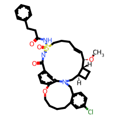 CO[C@H]1/C=C/CCCS(=O)(NC(=O)CCc2ccccc2)=NC(=O)c2ccc3c(c2)N(Cc2ccc(Cl)cc2CCCCO3)C[C@@H]2CC[C@H]21